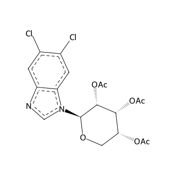 CC(=O)O[C@@H]1[C@H](OC(C)=O)[C@H](OC(C)=O)CO[C@H]1n1cnc2cc(Cl)c(Cl)cc21